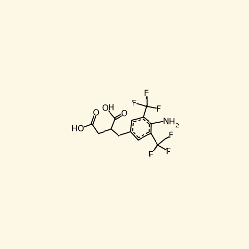 Nc1c(C(F)(F)F)cc(CC(CC(=O)O)C(=O)O)cc1C(F)(F)F